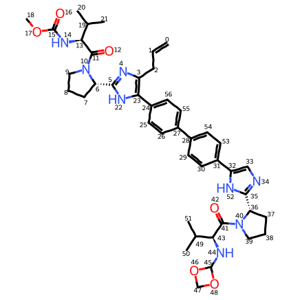 C=CCc1nc([C@@H]2CCCN2C(=O)[C@@H](NC(=O)OC)C(C)C)[nH]c1-c1ccc(-c2ccc(-c3cnc([C@@H]4CCCN4C(=O)[C@@H](NC4OCO4)C(C)C)[nH]3)cc2)cc1